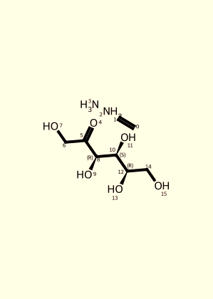 C=C.N.N.O=C(CO)[C@H](O)[C@@H](O)[C@H](O)CO